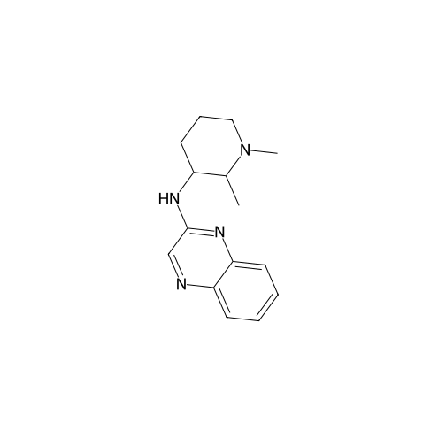 CC1C(Nc2cnc3ccccc3n2)CCCN1C